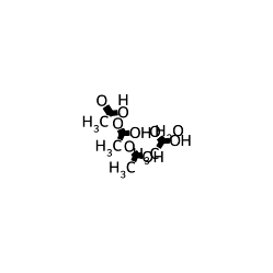 CC(=O)O.CC(=O)O.CC(=O)O.CC(=O)O.O